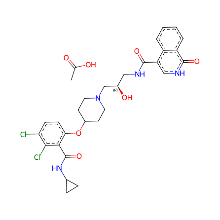 CC(=O)O.O=C(NC1CC1)c1c(OC2CCN(C[C@H](O)CNC(=O)c3c[nH]c(=O)c4ccccc34)CC2)ccc(Cl)c1Cl